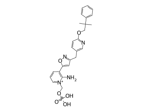 CC(C)(COc1ccc(Cc2cc(-c3ccc[n+](COP(=O)(O)O)c3N)on2)cn1)c1ccccc1